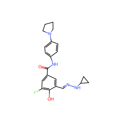 O=C(Nc1ccc(N2CCCC2)cc1)c1cc(F)c(O)c(C=NNC2CC2)c1